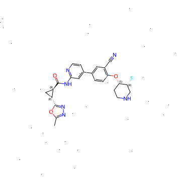 Cc1nnc([C@@H]2C[C@H]2C(=O)Nc2cc(-c3ccc(O[C@H]4CCNC[C@H]4F)c(C#N)c3)ccn2)o1